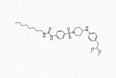 CCCCCCCCNC(=O)Nc1ccc(S(=O)(=O)N2CCC(Nc3ccc(CC(OC)OC)cc3)CC2)cc1